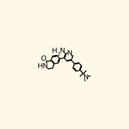 CN(C)C(C)(C)c1ccc(-c2cnc(N)c(-c3ccc4c(c3)CCNC4=O)c2)cc1